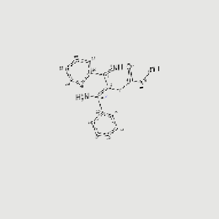 N=C(/C(CC(=O)NO)=C(\N)c1ccccc1)c1ccccc1